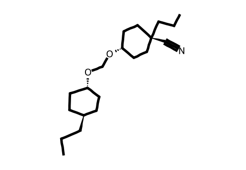 CCC[C@H]1CC[C@H](OCO[C@H]2CC[C@@](C#N)(CCC)CC2)CC1